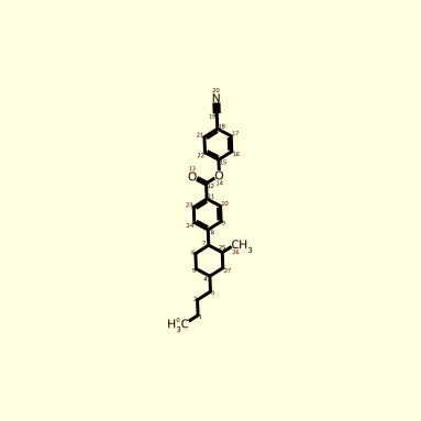 CCCCC1CCC(c2ccc(C(=O)Oc3ccc(C#N)cc3)cc2)C(C)C1